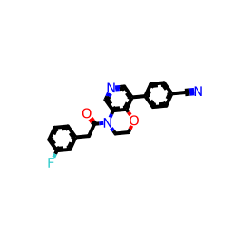 N#Cc1ccc(-c2cncc3c2OCCN3C(=O)Cc2cccc(F)c2)cc1